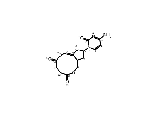 Nc1ccn(C2CC3COC(=O)CCC(=O)OC=C3O2)c(=O)n1